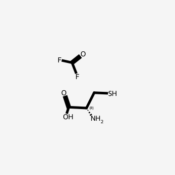 N[C@@H](CS)C(=O)O.O=C(F)F